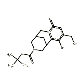 CC(C)(C)OC(=O)N1CC2CC(C1)c1c(Br)c(CO)cc(=O)n1C2